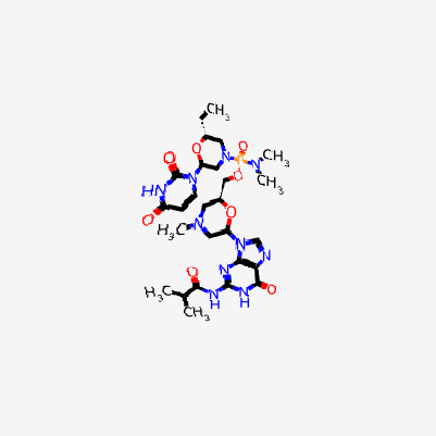 CC[C@@H]1CN([P@](=O)(OC[C@@H]2CN(C)CC(n3cnc4c(=O)[nH]c(NC(=O)C(C)C)nc43)O2)N(C)C)CC(n2ccc(=O)[nH]c2=O)O1